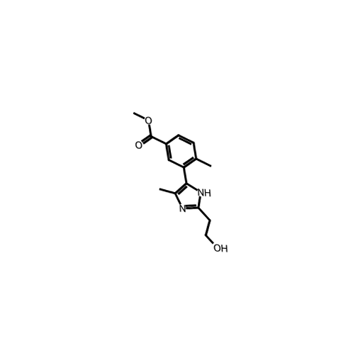 COC(=O)c1ccc(C)c(-c2[nH]c(CCO)nc2C)c1